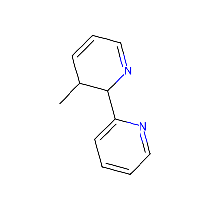 CC1C=CC=NC1c1ccccn1